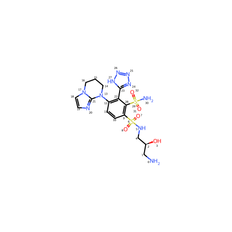 NC[C@H](O)CNS(=O)(=O)c1ccc(N2CCCn3ccnc32)c(-c2nnn[nH]2)c1S(N)(=O)=O